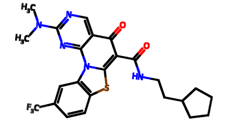 CN(C)c1ncc2c(=O)c(C(=O)NCCC3CCCC3)c3sc4ccc(C(F)(F)F)cc4n3c2n1